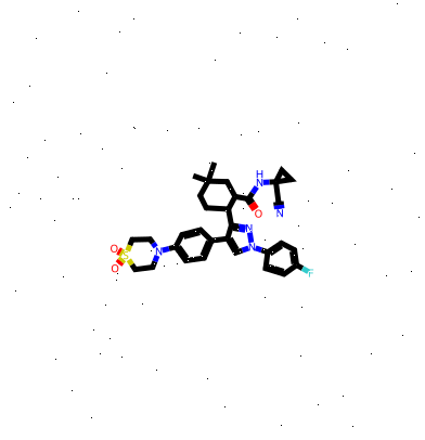 CC1(C)CCC(c2nn(-c3ccc(F)cc3)cc2-c2ccc(N3CCS(=O)(=O)CC3)cc2)C(C(=O)NC2(C#N)CC2)C1